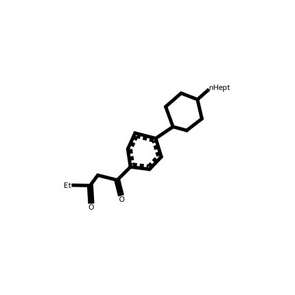 CCCCCCCC1CCC(c2ccc(C(=O)CC(=O)CC)cc2)CC1